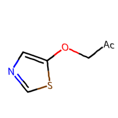 CC(=O)COc1cncs1